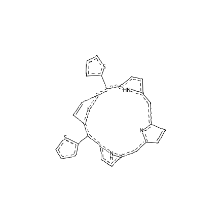 C1=Cc2cc3ccc([nH]3)c(-c3cccs3)c3nc(c(-c4cccs4)c4ccc(cc1n2)[nH]4)C=C3